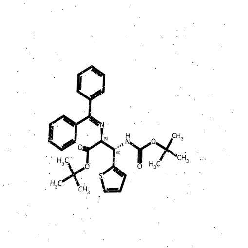 CC(C)(C)OC(=O)N[C@H](c1cccs1)[C@H](N=C(c1ccccc1)c1ccccc1)C(=O)OC(C)(C)C